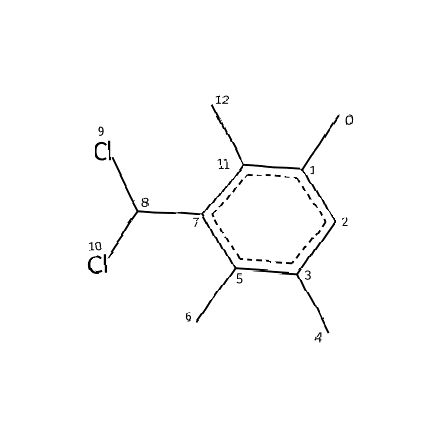 Cc1cc(C)c(C)c(C(Cl)Cl)c1C